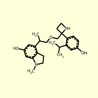 CC(C)c1cc(O)ccc1C1(COCC(C)c2cc(O)cc3c2CCN3C)CCN1